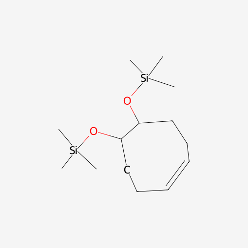 C[Si](C)(C)OC1CCC=CCCC1O[Si](C)(C)C